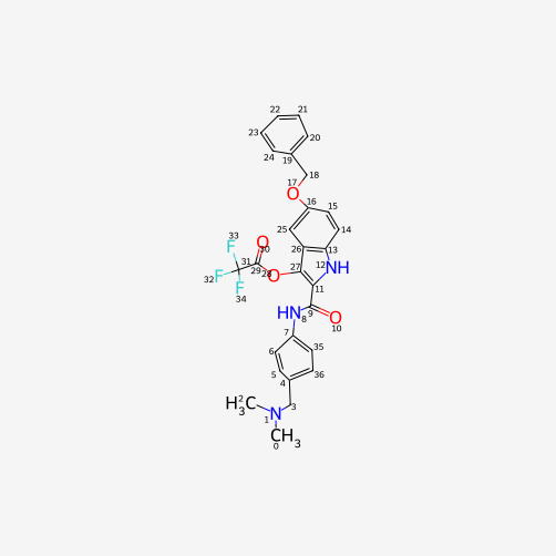 CN(C)Cc1ccc(NC(=O)c2[nH]c3ccc(OCc4ccccc4)cc3c2OC(=O)C(F)(F)F)cc1